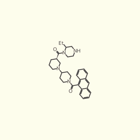 CCC1CNCCN1C(=O)[C@@H]1CCCN(C2CCN(C(=O)c3c4ccccc4cc4ccccc34)CC2)C1